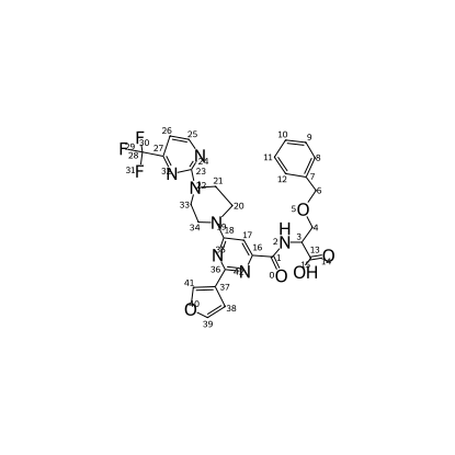 O=C(NC(COCc1ccccc1)C(=O)O)c1cc(N2CCN(c3nccc(C(F)(F)F)n3)CC2)nc(-c2ccoc2)n1